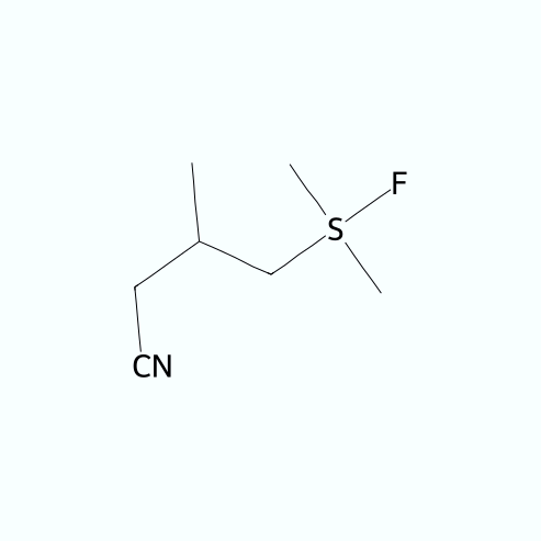 CC(CC#N)CS(C)(C)F